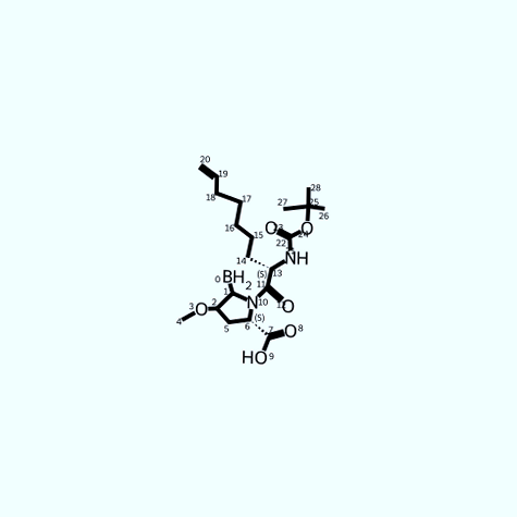 BC1C(OC)C[C@@H](C(=O)O)N1C(=O)[C@H](CCCCCC=C)NC(=O)OC(C)(C)C